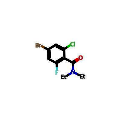 CCN(CC)C(=O)c1c(F)cc(Br)cc1Cl